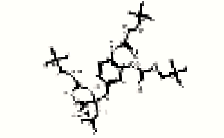 CC(C)N[C@@](Cc1ccc(OC(=O)OCC(C)(C)C)c(OC(=O)OCC(C)(C)C)c1)(OC(=O)OCC(C)(C)C)C(=O)O